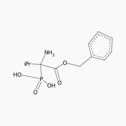 CC(C)C(N)(C(=O)OCc1ccccc1)P(=O)(O)O